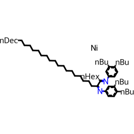 CCCCCCCCCCCCCCCCCCCCCCCCCCCCC(=Nc1ccc(CCCC)c(CCCC)c1)C(CCCCCC)=Nc1ccc(CCCC)c(CCCC)c1.[Ni]